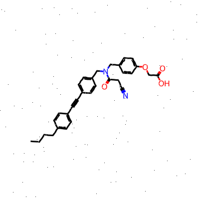 CCCCc1ccc(C#Cc2ccc(CN(Cc3ccc(OCC(=O)O)cc3)C(=O)CC#N)cc2)cc1